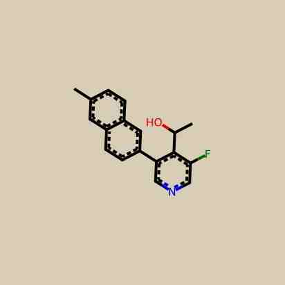 Cc1ccc2cc(-c3cncc(F)c3C(C)O)ccc2c1